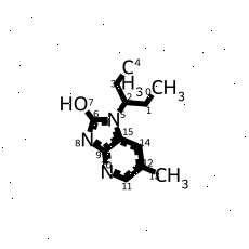 CCC(CC)n1c(O)nc2ncc(C)cc21